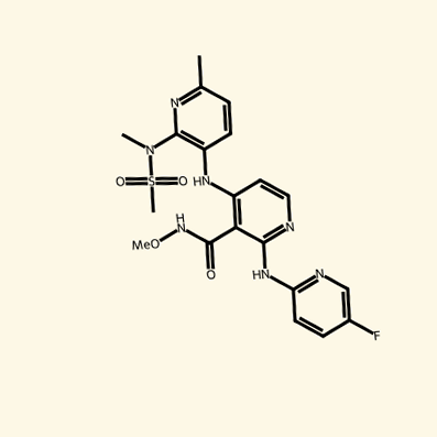 CONC(=O)c1c(Nc2ccc(C)nc2N(C)S(C)(=O)=O)ccnc1Nc1ccc(F)cn1